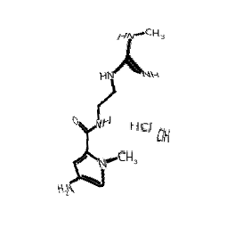 CNC(=N)NCCNC(=O)c1cc(N)cn1C.Cl.Cl